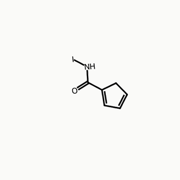 O=C(NI)C1=CC=CC1